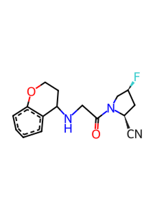 N#C[C@@H]1C[C@H](F)CN1C(=O)CNC1CCOc2ccccc21